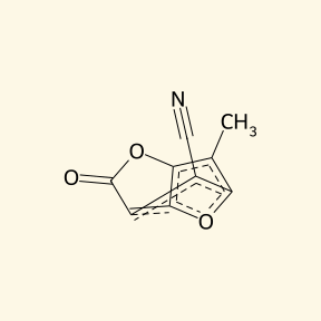 Cc1c2c3oc1c(C#N)c3C(=O)O2